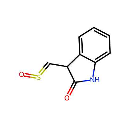 O=S=CC1C(=O)Nc2ccccc21